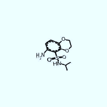 CC(C)NS(=O)(=O)c1c(N)ccc2c1OCCO2